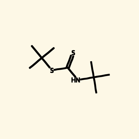 CC(C)(C)NC(=S)SC(C)(C)C